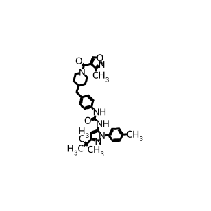 Cc1ccc(-n2nc(C(C)(C)C)cc2NC(=O)Nc2ccc(CC3CCN(C(=O)c4conc4C)CC3)cc2)cc1